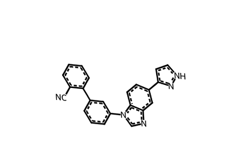 N#Cc1ccccc1-c1cccc(-n2cnc3cc(-c4cc[nH]n4)ccc32)c1